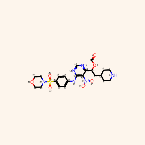 O=COC(CC1CCNCC1)c1ncnc(Nc2ccc(S(=O)(=O)N3CCOCC3)cc2)c1[N+](=O)[O-]